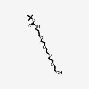 CC(C)(C)OC(=O)NCCCOCCOCCOCCOCCO